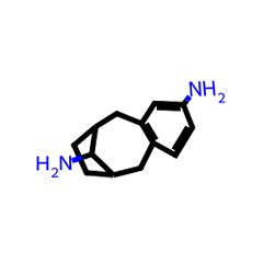 Nc1ccc2c(c1)CC1CCC(C2)C1N